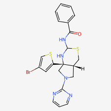 O=C(NC1N[C@@]2(c3cc(Br)cs3)CN(c3ncccn3)C[C@H]2CS1)c1ccccc1